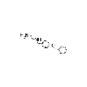 NCCNCc1ccc(OCc2ccccc2)cc1